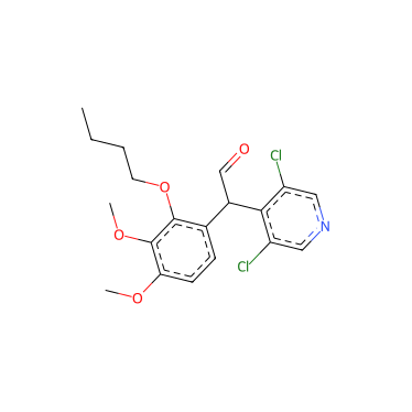 CCCCOc1c(C(C=O)c2c(Cl)cncc2Cl)ccc(OC)c1OC